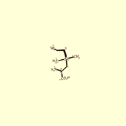 C[Si](C)(CS)C[C@H](N)C(=O)O